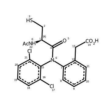 CC(=O)N[C@@H](CS)C(=O)N(c1ccccc1CC(=O)O)c1c(Cl)cccc1Cl